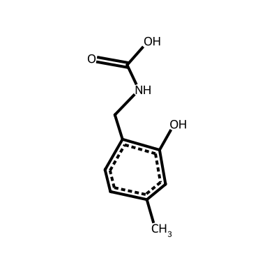 Cc1ccc(CNC(=O)O)c(O)c1